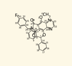 COc1c2c(c(OC(c3ccccc3)c3ccccc3)c3nccnc13)C(=O)N(Cc1ccc(F)cc1)C2=O